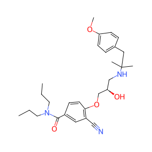 CCCN(CCC)C(=O)c1ccc(OC[C@H](O)CNC(C)(C)Cc2ccc(OC)cc2)c(C#N)c1